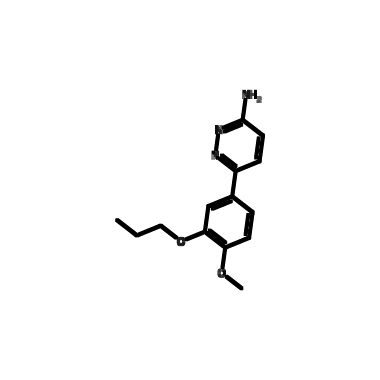 CCCOc1cc(-c2ccc(N)nn2)ccc1OC